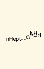 CCCCCCCCCCc1ccc(C(N)CO)cc1